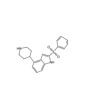 O=S(=O)(c1ccccc1)c1cc2c(C3CCNCC3)cccc2[nH]1